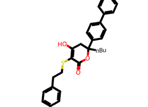 CCCCC1(c2ccc(-c3ccccc3)cc2)CC(O)=C(SCCc2ccccc2)C(=O)O1